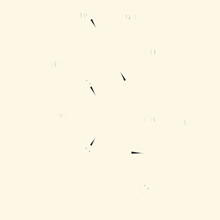 CCC1CCC(N)[C@@H](OC2C(O)[C@@H](O[C@H]3OC(CO)[C@@H](O)[C@H](N)C3O)[C@H](N)C(O)[C@@H]2N)O1